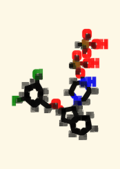 CS(=O)(=O)O.CS(=O)(=O)O.Fc1cc(Cl)cc(CO[C@@H]2Cc3ccccc3[C@H]2N2CCNCC2)c1